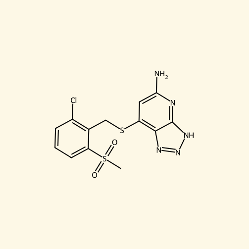 CS(=O)(=O)c1cccc(Cl)c1CSc1cc(N)nc2[nH]nnc12